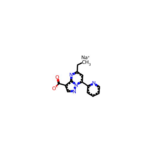 CCc1cc(-c2ccccn2)n2ncc(C(=O)[O-])c2n1.[Na+]